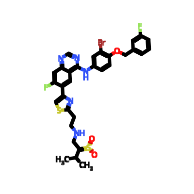 CC(C)C(CNCCc1nc(-c2cc3c(Nc4ccc(OCc5cccc(F)c5)c(Br)c4)ncnc3cc2F)cs1)=S(=O)=O